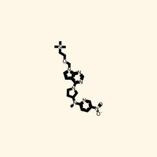 CN(c1ccc([N+](=O)[O-])cn1)C1CCN(c2ncnc3c2ccn3COCC[Si](C)(C)C)C1